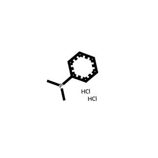 CP(C)c1ccccc1.Cl.Cl